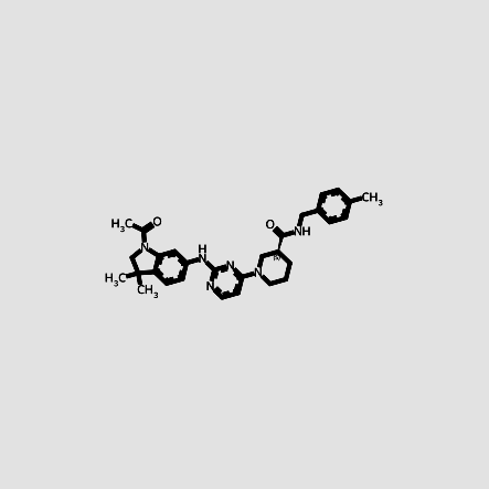 CC(=O)N1CC(C)(C)c2ccc(Nc3nccc(N4CCC[C@H](C(=O)NCc5ccc(C)cc5)C4)n3)cc21